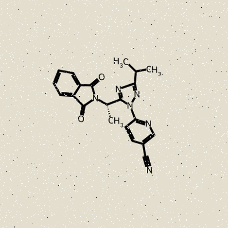 CC(C)c1nc([C@H](C)N2C(=O)c3ccccc3C2=O)n(-c2ccc(C#N)cn2)n1